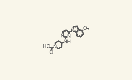 COc1cccc2c1ccn2-c1ccnc(NC2CCN(C(=O)O)CC2)n1